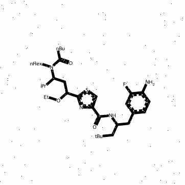 CCCCCCN(C(=O)CCCC)C(CC(OCC)c1nc(C(=O)NC(Cc2ccc(N)c(F)c2)CC(C)(C)C)cs1)C(C)C